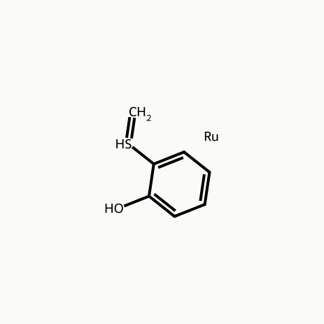 C=[SH]c1ccccc1O.[Ru]